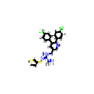 O=CN/C(=N\Sc1ccsc1)NCc1cnc(-c2ccc(Cl)cc2)c(-c2ccc(Cl)cc2)c1